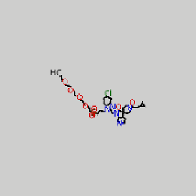 C#CCOCCOCCOCCOCCS(=O)(=O)CCCn1c(CN2C(=O)C3(CCN(C(=O)CC4CC4)CC3)c3ccncc32)nc2cc(Cl)ccc21